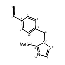 C=Cc1ccc(Cn2ncnc2SC)cc1